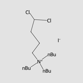 CCCC[N+](CCCC)(CCCC)CCCC(Cl)Cl.[I-]